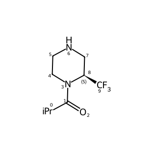 CC(C)C(=O)N1CCNC[C@H]1C(F)(F)F